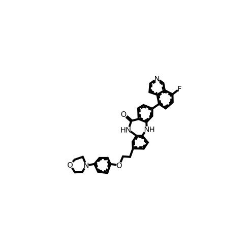 O=C1Nc2cc(CCOc3ccc(N4CCOCC4)cc3)ccc2Nc2cc(-c3ccc(F)c4cnccc34)ccc21